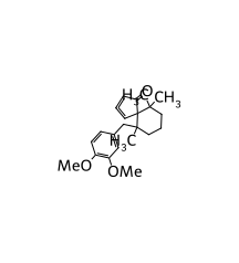 COc1ccc(CC2(C)CCCC(C)(C)C23C=C=CC3=O)cc1OC